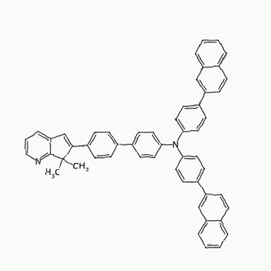 CC1(C)C(c2ccc(-c3ccc(N(c4ccc(-c5ccc6ccccc6c5)cc4)c4ccc(-c5ccc6ccccc6c5)cc4)cc3)cc2)=Cc2cccnc21